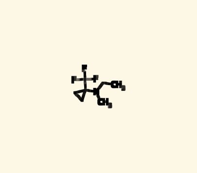 CCN(C)C1(C(F)(F)F)CC1